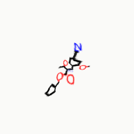 COc1cc(C#N)ccc1/C=C(\C(C)=O)C(=O)OCc1ccccc1